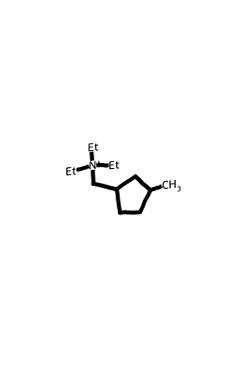 CC[N+](CC)(CC)CC1CCC(C)C1